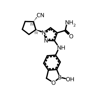 N#C[C@H]1CCC[C@@H]1n1cc(C(N)=O)c(Nc2ccc3c(c2)B(O)OC3)n1